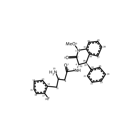 CON1C(=O)[C@@H](NC(=O)CC(N)Cc2ccccc2F)[C@H](c2ccccc2)c2ccccc21